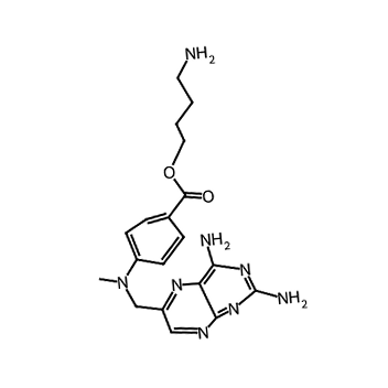 CN(Cc1cnc2nc(N)nc(N)c2n1)c1ccc(C(=O)OCCCCN)cc1